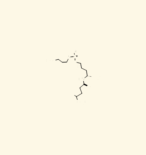 CC(CCC(=O)N[C@@H](CCCOP(=O)(O)N[C@@H](CCC(=O)O)C(=O)O)C(=O)O)C(=O)O